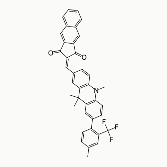 Cc1ccc(-c2ccc3c(c2)C(C)(C)c2cc(C=C4C(=O)c5cc6ccccc6cc5C4=O)ccc2N3C)c(C(F)(F)F)c1